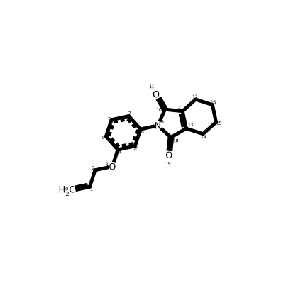 C=CCOc1cccc(N2C(=O)C3=C(CCCC3)C2=O)c1